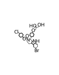 O=C(Oc1ccc(Cl)cc1)N1CCc2c([nH]c3c2=CC(Br)CC=3)C1c1ccc(OCC(O)CO)cc1